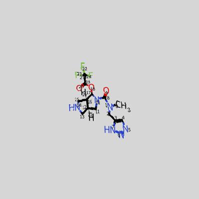 CN(Cc1cnn[nH]1)C(=O)N1C[C@H]2CNC[C@H]2C1OC(=O)C(F)(F)F